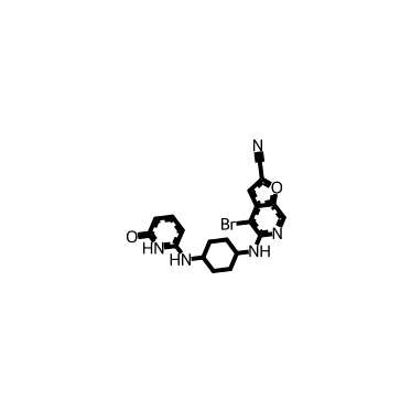 N#Cc1cc2c(Br)c(NC3CCC(Nc4cccc(=O)[nH]4)CC3)ncc2o1